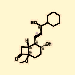 CO[C@]12CC[C@@H](O)[C@H](/C=C/[C@@H](O)C3CCCCC3)[C@H]1CC2=O